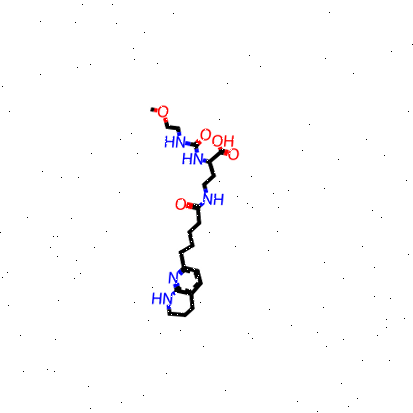 COCCNC(=O)NC(CCNC(=O)CCCCc1ccc2c(n1)NCCC2)C(=O)O